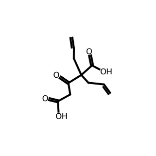 C=CCC(CC=C)(C(=O)O)C(=O)CC(=O)O